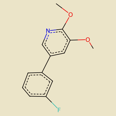 COc1cc(-c2cccc(F)c2)cnc1OC